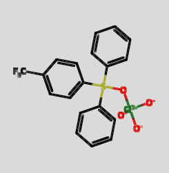 [O-][Cl+3]([O-])([O-])OS(c1ccccc1)(c1ccccc1)c1ccc(C(F)(F)F)cc1